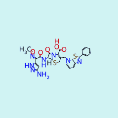 CO/N=C(\C(=O)NC1C(=O)N2C(C(=O)O)=C(CN3C=CC=C4N=C(c5ccccc5)SC43)CS[C@H]12)c1cc(N)n[nH]1